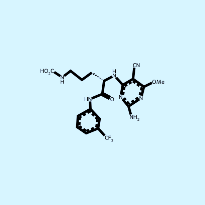 COc1nc(N)nc(N[C@@H](CCCNC(=O)O)C(=O)Nc2cccc(C(F)(F)F)c2)c1C#N